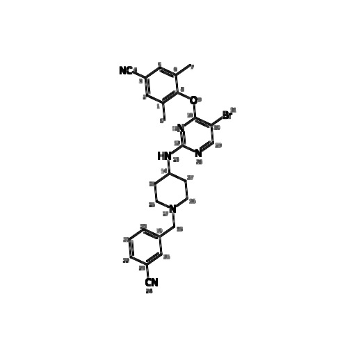 Cc1cc(C#N)cc(C)c1Oc1nc(NC2CCN(Cc3cccc(C#N)c3)CC2)ncc1Br